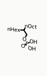 CCCCCCCCC(CCCCCC)COP(=O)(O)O